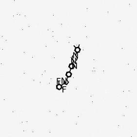 Cc1ccc(N2CCN(c3ccc(-c4ccc(C5CCC(c6c(F)cccc6F)=N5)cc4)cn3)CC2)cc1C